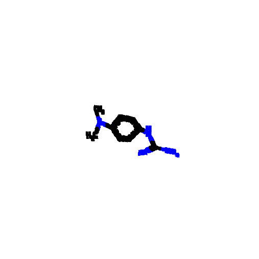 CN(C)c1ccc(NC(=N)N)cc1